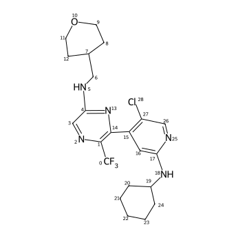 FC(F)(F)c1ncc(NCC2CCOCC2)nc1-c1cc(NC2CCCCC2)ncc1Cl